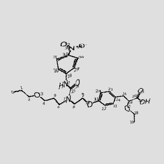 CCCOCCCN(CCOc1ccc(CC(OCC)C(=O)O)cc1)C(=O)Nc1ccc([N+](=O)[O-])cc1